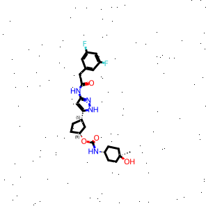 C[C@]1(O)CC[C@H](NC(=O)O[C@@H]2CC[C@H](c3cc(NC(=O)Cc4cc(F)cc(F)c4)n[nH]3)C2)CC1